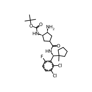 CC(C)(C)OC(=O)N[C@@H]1CC(C(=O)N[C@H](c2c(F)ccc(Cl)c2Cl)C2(C)CCCC2)C[C@@H]1N